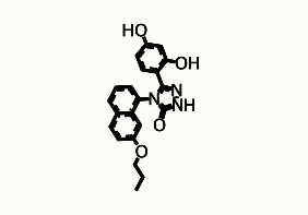 CCCOc1ccc2cccc(-n3c(-c4ccc(O)cc4O)n[nH]c3=O)c2c1